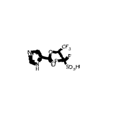 O=C(OC(C(F)(F)F)C(F)(F)S(=O)(=O)O)c1cnc[nH]1